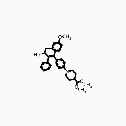 COc1ccc2c(c1)C[C@H](C)C(c1ccccc1)=C2c1ccc(N2CCC(C(OC)OC)CC2)cc1